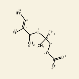 CCC(=O)OCC(C)(C)OC(C)/C(=C/C(C)C)CC